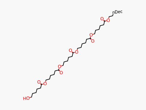 CCCCCCCCCCCCOC(=O)CCCCCOC(=O)CCCCCOC(=O)CCCCCOC(=O)CCCCCOC(=O)CCCCCO